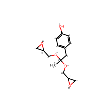 CC(Cc1ccc(O)cc1)(OCC1CO1)OCC1CO1